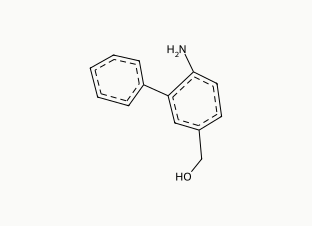 Nc1ccc(CO)cc1-c1ccccc1